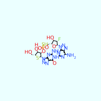 Nc1nc2c(nnn2[C@@H]2S[C@H](CO)[C@@H](O)[C@H]2OP(=O)(S)OC[C@H]2O[C@@H](n3nnc4c(N)ncnc43)[C@@H](F)[C@@H]2O)c(=O)[nH]1